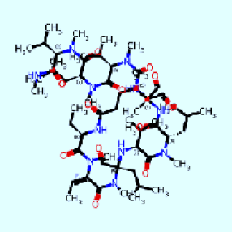 C/C=C(\C(=O)N(C)[C@@](C=O)(CC(C)C)N[C@H](C(=O)N(C)[C@@H](CC(C)C)C(=O)N[C@@](C)(C=O)NC(=O)N(C)[C@@H](C(=O)N(C)[C@@H](CC(C)C)C(=O)N(C)[C@@H](C(=O)NC)C(C)C)C(C)C)C(C)C)N(C)C(=O)[C@@H](CC)NC(=O)CC[C@H](C)CC=O